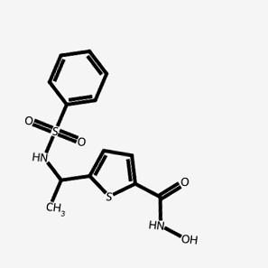 CC(NS(=O)(=O)c1ccccc1)c1ccc(C(=O)NO)s1